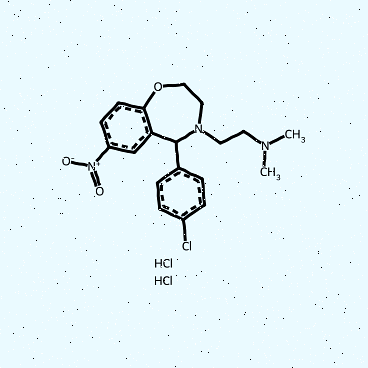 CN(C)CCN1CCOc2ccc([N+](=O)[O-])cc2C1c1ccc(Cl)cc1.Cl.Cl